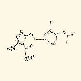 COC(=O)c1c(OCc2ccc(OC(F)F)c(F)c2)nsc1N